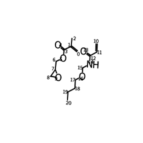 C=C(C)C(=O)OCC1CO1.C=CC(=O)NCOCCCC